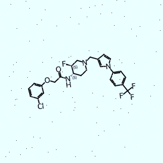 O=C(COc1cccc(Cl)c1)N[C@H]1CCN(Cc2ccn(-c3ccc(C(F)(F)F)cc3)c2)C[C@@H]1F